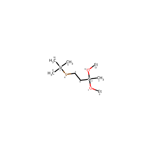 CCO[Si](C)(CCS[Si](C)(C)C)OCC